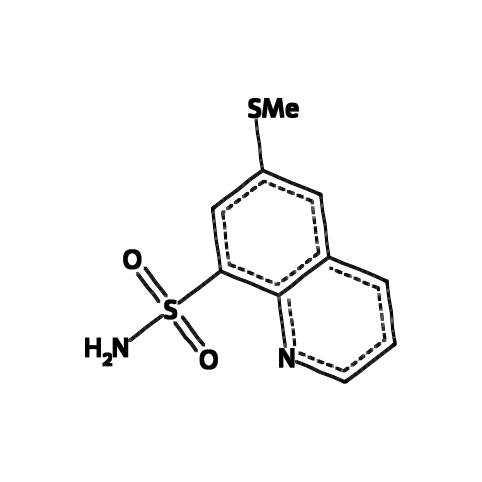 CSc1cc(S(N)(=O)=O)c2ncccc2c1